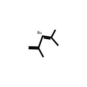 C=C(C)C=C(C)C.[Ru]